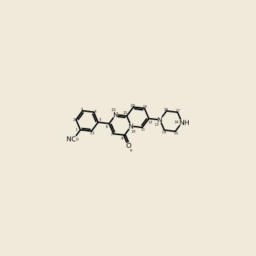 N#Cc1cccc(-c2cc(=O)n3cc(N4CCNCC4)ccc3n2)c1